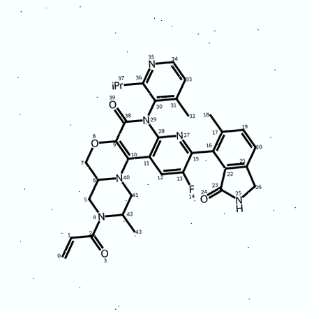 C=CC(=O)N1CC2COc3c(c4cc(F)c(-c5c(C)ccc6c5C(=O)NC6)nc4n(-c4c(C)ccnc4C(C)C)c3=O)N2CC1C